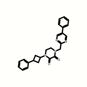 O=C1C(=O)N(C2CC(c3ccccc3)C2)CCN1Cc1ncc(-c2ccccc2)cn1